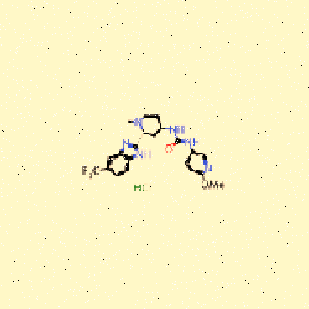 COc1ccc(NC(=O)N[C@@H]2CCN(C)[C@@H](c3nc4cc(C(F)(F)F)ccc4[nH]3)C2)cn1.Cl